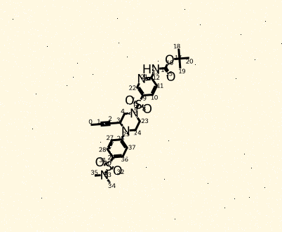 CC#CC1CN(S(=O)(=O)c2ccc(NC(=O)OC(C)(C)C)nc2)CCN1c1ccc(S(=O)(=O)N(C)C)cc1